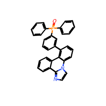 O=P(c1ccccc1)(c1ccccc1)c1cccc(-c2cccc3c2c2ccccc2c2nccn32)c1